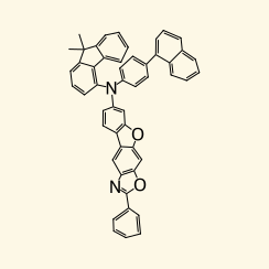 CC1(C)c2ccccc2-c2c(N(c3ccc(-c4cccc5ccccc45)cc3)c3ccc4c(c3)oc3cc5oc(-c6ccccc6)nc5cc34)cccc21